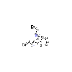 BrC/C=C/CC1(C/C=C/CBr)CCCCC1